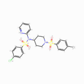 CCc1ccc(S(=O)(=O)N2CCC(N(c3ccccn3)S(=O)(=O)c3ccc(Cl)cc3)CC2)cc1